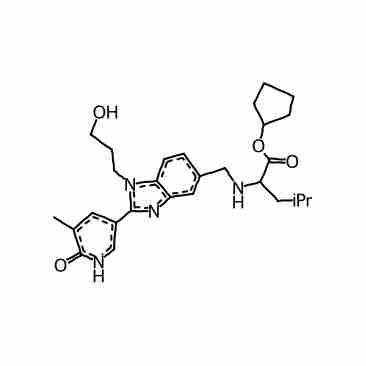 Cc1cc(-c2nc3cc(CNC(CC(C)C)C(=O)OC4CCCC4)ccc3n2CCCO)c[nH]c1=O